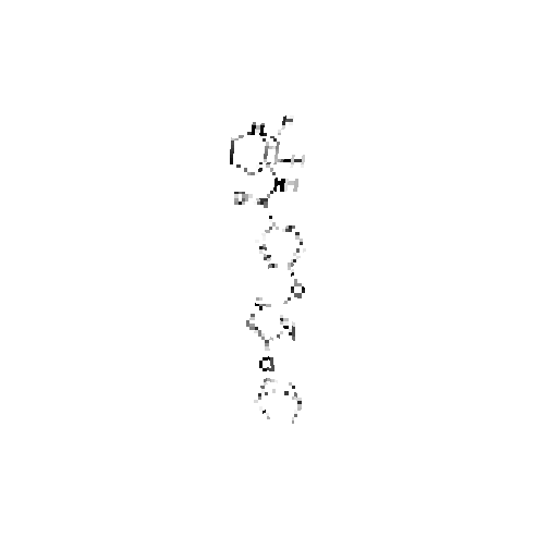 C1CC2CCC1CC2.C[C@H]1[C@H](NC(=O)c2ccc(Oc3nc(Cl)cs3)cc2)C2CCN1CC2